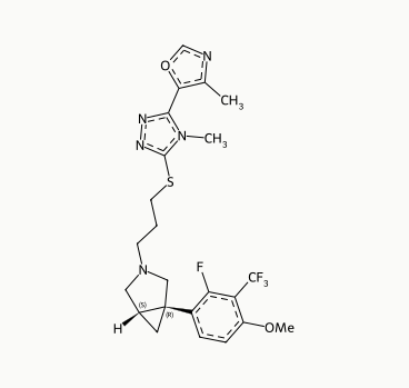 COc1ccc([C@@]23C[C@@H]2CN(CCCSc2nnc(-c4ocnc4C)n2C)C3)c(F)c1C(F)(F)F